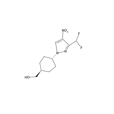 O=[N+]([O-])c1cn([C@H]2CC[C@H](CO)CC2)nc1C(F)F